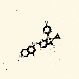 O=c1c2cnc(Nc3cc(F)c4c(c3)CCNC4)nc2n(-c2ccc(Cl)cn2)n1C1CC1